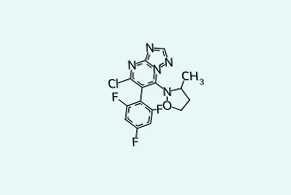 CC1CCON1c1c(-c2c(F)cc(F)cc2F)c(Cl)nc2ncnn12